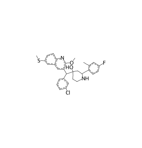 COc1nc2ccc(SC)cc2cc1C(c1cccc(Cl)c1)C1(O)CCNC(c2ccc(F)cc2C)C1